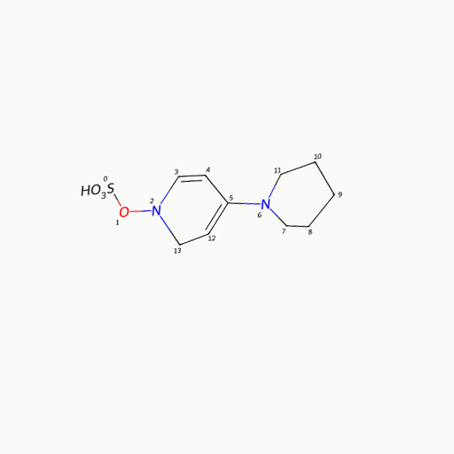 O=S(=O)(O)ON1C=CC(N2CCCCC2)=CC1